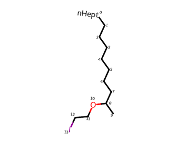 CCCCCCCCCCCCCCC(C)OCCI